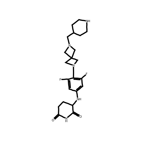 O=C1CCC(Nc2cc(F)c(N3CC4(CN(CC5CCNCC5)C4)C3)c(F)c2)C(=O)N1